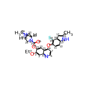 CCOc1cc2nccc(Oc3ccc4[nH]c(C)cc4c3F)c2cc1OC(=O)N1C[C@@H]2C[C@H]1CN2C